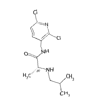 CC(C)CN[C@H](C)C(=O)Nc1ccc(Cl)nc1Cl